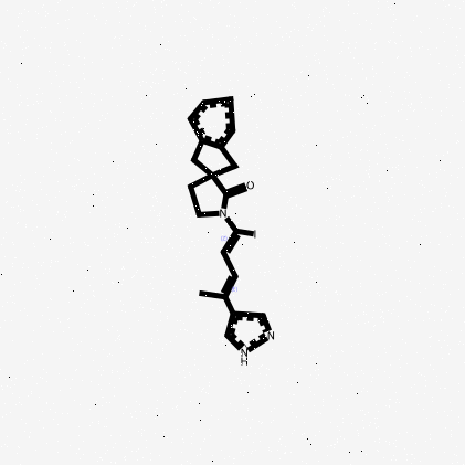 C/C(=C\C=C(/I)N1CCC2(Cc3ccccc3C2)C1=O)c1cn[nH]c1